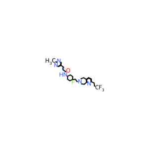 Cc1ncc(/C=C/C(=O)N[C@H]2CC[C@](F)(CCN3CCc4ccc(CCC(F)(F)F)nc4CC3)CC2)cn1